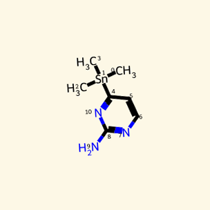 [CH3][Sn]([CH3])([CH3])[c]1ccnc(N)n1